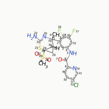 C[C@]1(c2cc(NC(=O)c3ccc(Cl)cn3)cc(F)c2F)N=C(N)S[C@@]2(S(C)(=O)=O)C[C@H]21